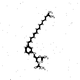 CC(=O)OCC(COc1cccc(CCCCCCCCCCCCCC(C)C)c1)OC(C)=O